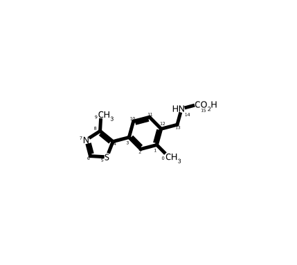 Cc1cc(-c2scnc2C)ccc1CNC(=O)O